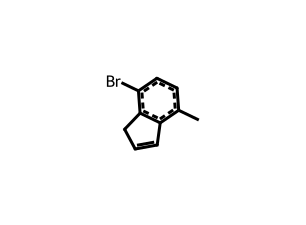 Cc1ccc(Br)c2c1C=CC2